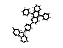 Cc1ccc2c3ccncc3n(-c3ccc(-c4ccc5c(-c6ccccc6)c6ccccc6c(-c6ccccc6)c5c4)cn3)c2c1